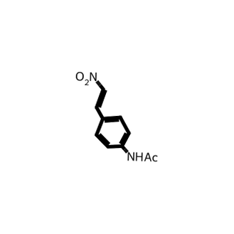 CC(=O)Nc1ccc(/C=C/[N+](=O)[O-])cc1